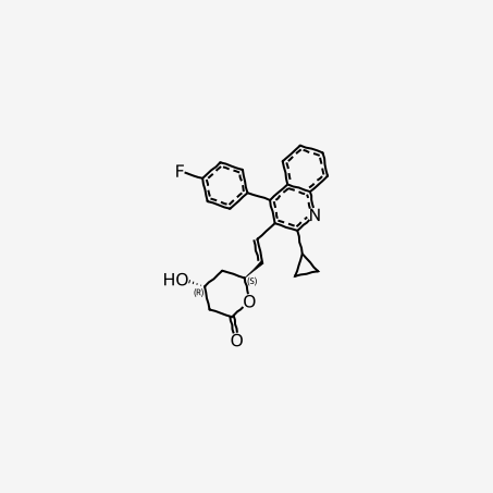 O=C1C[C@H](O)C[C@@H](C=Cc2c(C3CC3)nc3ccccc3c2-c2ccc(F)cc2)O1